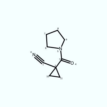 N#CC1(C(=O)N2CCCC2)CC1